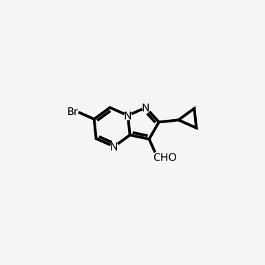 O=Cc1c(C2CC2)nn2cc(Br)cnc12